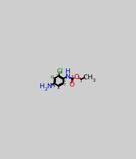 CCOC(=O)Nc1ccc(N)cc1Cl